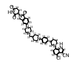 N#Cc1c[nH]c2c(N3CCC[C@@H](c4ccc(N5CCC(CN6CCN(c7ccc8c(c7)CN(C7CCC(=O)NC7=O)C8=O)CC6)CC5)cc4)C3)ccc(Cl)c12